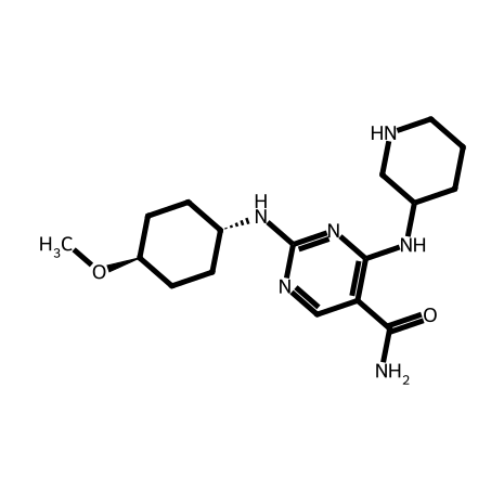 CO[C@H]1CC[C@H](Nc2ncc(C(N)=O)c(NC3CCCNC3)n2)CC1